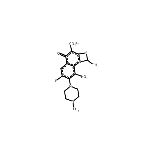 CCOC(=O)c1c2n(c3c([N+](=O)[O-])c(N4CCN(C)CC4)c(F)cc3c1=O)C(C)S2